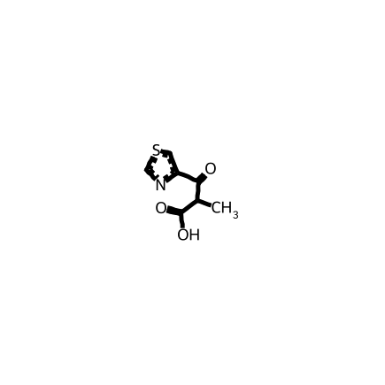 CC(C(=O)O)C(=O)c1cscn1